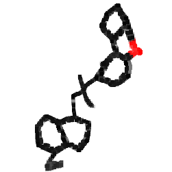 CC(C)(C)c1cccc2c(CC(C)(C)c3ccc4oc5ccccc5c4c3)cccc12